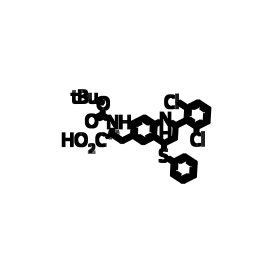 CC(C)(C)OC(=O)N[C@@H](Cc1ccc2c(c1)C(Sc1ccccc1)CC(c1c(Cl)cccc1Cl)N2)C(=O)O